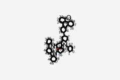 c1ccc(-n2c3ccc(-c4ccc5c(c4)c4cccc6oc7cccc5c7c64)cc3c3cc(-n4c5ccccc5c5ccc6c7ccccc7n(-c7ccccc7)c6c54)ccc32)cc1